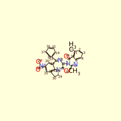 Cc1cccc2nc(C)n(C3N=C(c4ccccc4)c4cc([N+](=O)[O-])cc5c4N(CC5)C3=O)c(=O)c12